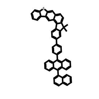 CC1(C)c2cc(-c3ccc(-c4c5ccccc5c(-c5cccc6ccccc56)c5ccccc45)cc3)ccc2-c2c1ccc1cc3sc4ccccc4c3cc21